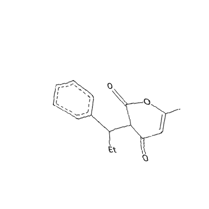 CCC(c1ccccc1)C1C(=O)C=C(C)OC1=O